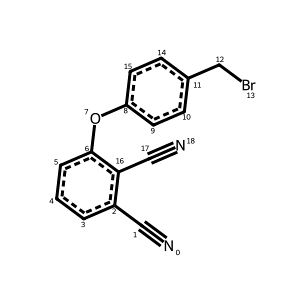 N#Cc1cccc(Oc2ccc(CBr)cc2)c1C#N